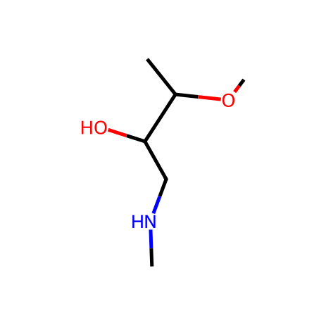 CNCC(O)C(C)OC